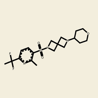 Cc1nc(C(C)(F)F)ccc1S(=O)(=O)N1CC2(CN(C3CCOCC3)C2)C1